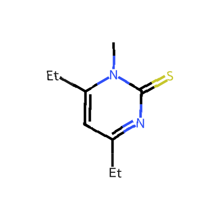 CCc1cc(CC)n(C)c(=S)n1